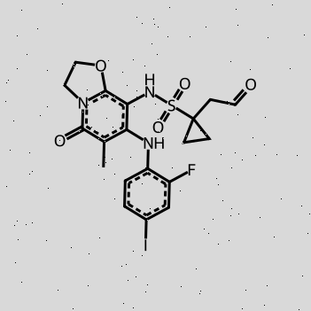 Cc1c(Nc2ccc(I)cc2F)c(NS(=O)(=O)C2(CC=O)CC2)c2n(c1=O)CCO2